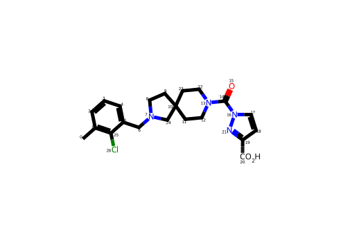 Cc1cccc(CN2CCC3(CCN(C(=O)n4ccc(C(=O)O)n4)CC3)C2)c1Cl